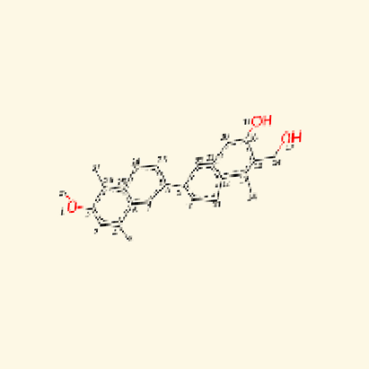 COc1cc(C)c2cc(-c3ccc4c(C)c(CO)c(O)cc4c3)ccc2c1C